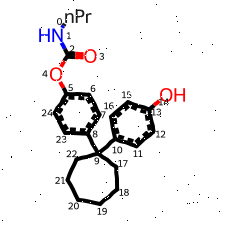 CCCNC(=O)Oc1ccc(C2(c3ccc(O)cc3)CCCCCC2)cc1